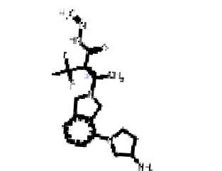 C=NNC(=O)/C(=C(\C)N1Cc2cccc(N3CCC(N)C3)c2C1)C(F)(F)F